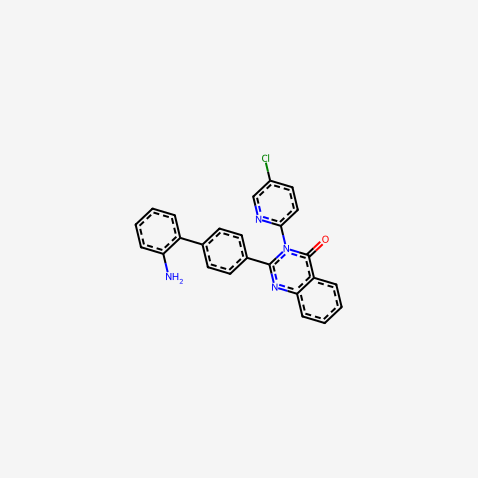 Nc1ccccc1-c1ccc(-c2nc3ccccc3c(=O)n2-c2ccc(Cl)cn2)cc1